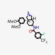 COc1ccc([C@@]23CC[C@@H](NC(=O)c4ccc(C(F)(F)F)c(F)c4)C[C@@H]2CN(C)C3)cc1OC